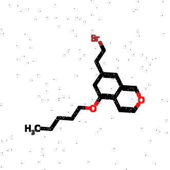 CCCCCOC1=C2C=COC=C2C=C(CCBr)C1